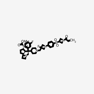 C=CC(=O)N1CC(S(=O)(=O)c2ccc(N3CC(F)(CN4CCC([C@@](CN5CCC5)(c5cccc(F)c5)[C@H]5CCC[C@@H]5NC(=O)OC)CC4)C3)cc2)C1